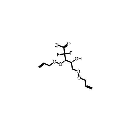 C=CCOOC[C@H](O)[C@@H](OOCC=C)C(F)(F)C(=O)Cl